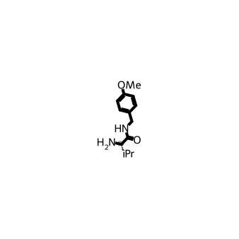 COc1ccc(CNC(=O)[C@@H](N)C(C)C)cc1